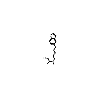 CC(CO)N(C)CCOCCc1ccc2sccc2c1